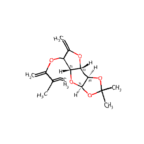 C=C(C)C(=C)OC1C(=C)O[C@@H]2[C@H]3OC(C)(C)O[C@H]3O[C@H]12